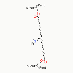 CCCCCC(CCCCC)CCOC(=O)CCCCCCCCCC(CCCCCCCCCC(=O)OCCC(CCCCC)CCCCC)CCN(C)C(C)C